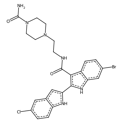 NC(=O)N1CCN(CCNC(=O)c2c(-c3cc4cc(Cl)ccc4[nH]3)[nH]c3cc(Br)ccc23)CC1